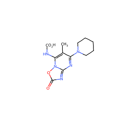 Cc1c(N2CCCCC2)nc2nc(=O)on2c1NC(=O)O